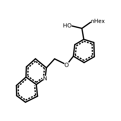 CCCCCCC(O)c1cccc(OCc2ccc3ccccc3n2)c1